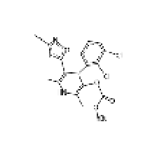 CCCCOC(=O)OC1=C(C)NC(C)=C(c2nc(C)no2)C1c1cccc(Cl)c1Cl